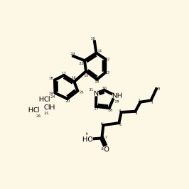 CCCCCCCC(=O)O.Cc1cccc(-c2ccccc2)c1C.Cl.Cl.Cl.c1c[nH]cn1